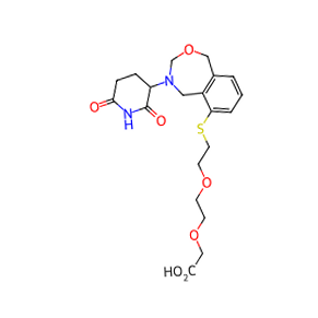 O=C(O)COCCOCCSc1cccc2c1CN(C1CCC(=O)NC1=O)COC2